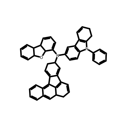 C1=CC2OC3C(N(c4ccc5c(c4)c4c(n5-c5ccccc5)CCC=C4)C4C=C5C(=CC4)C4=c6ccccc6=CC6CC=CC5=C46)=CC=CC3C2C=C1